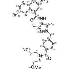 COCCN(CCC#N)C(=O)c1ccc(Cn2nc(C)c(NC(=O)c3cc(C(F)(F)F)nc4ccc(Br)cc34)c2C)cc1